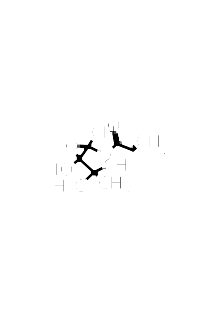 C=CC(=O)OC1(C)OC1(O)C(C)(C)C